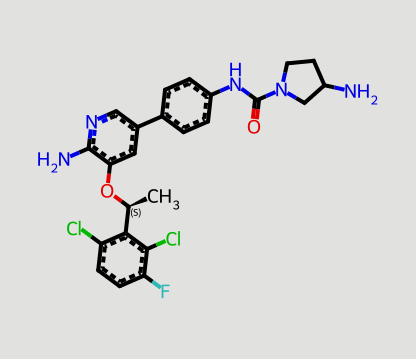 C[C@H](Oc1cc(-c2ccc(NC(=O)N3CCC(N)C3)cc2)cnc1N)c1c(Cl)ccc(F)c1Cl